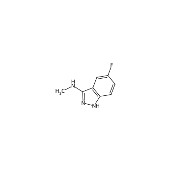 CNc1n[nH]c2ccc(F)cc12